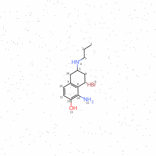 Br.CCCNC1CCc2c(ccc(O)c2N)C1